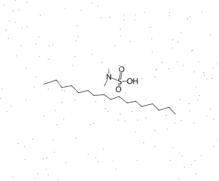 CCCCCCCCCCCCCCCCC.CN(C)S(=O)(=O)O